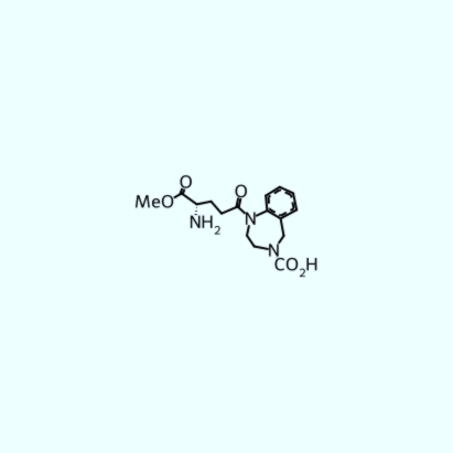 COC(=O)[C@@H](N)CCC(=O)N1CCN(C(=O)O)Cc2ccccc21